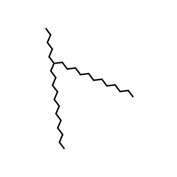 [CH2]CCCCC(CCCCCCCCCCCC)CCCCCCCCCCCC